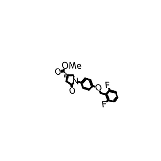 COC(=O)[C@@H]1CC(=O)N(c2ccc(OCc3c(F)cccc3F)cc2)C1